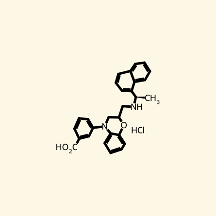 C[C@@H](NCC1CN(c2cccc(C(=O)O)c2)c2ccccc2O1)c1cccc2ccccc12.Cl